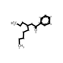 CCCCCC(CCC)CC(=O)c1ccccc1